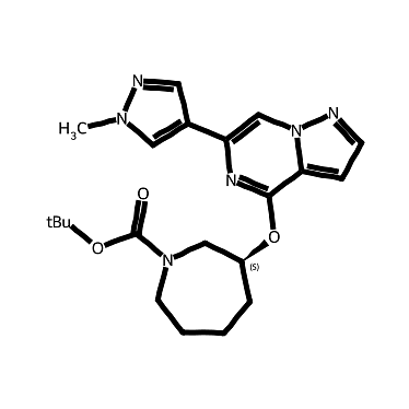 Cn1cc(-c2cn3nccc3c(O[C@H]3CCCCN(C(=O)OC(C)(C)C)C3)n2)cn1